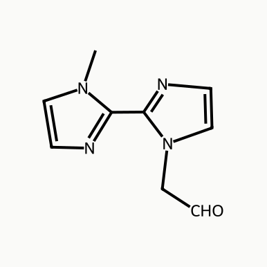 Cn1ccnc1-c1nccn1CC=O